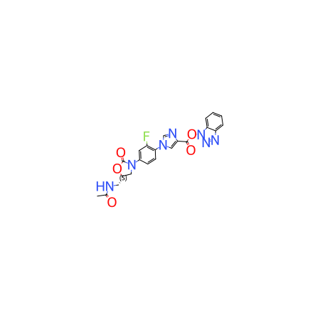 CC(=O)NC[C@H]1CN(c2ccc(-n3cnc(C(=O)On4nnc5ccccc54)c3)c(F)c2)C(=O)O1